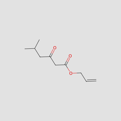 C=CCOC(=O)CC(=O)CC(C)C